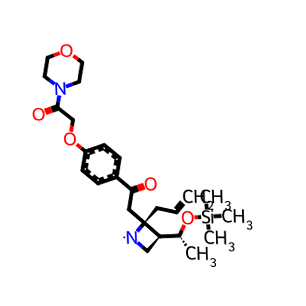 C=CC[C@]1(CC(=O)c2ccc(OCC(=O)N3CCOCC3)cc2)[N]C[C@@H]1[C@@H](C)O[Si](C)(C)C